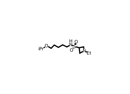 CCN1CC(S(=O)(=O)NCCCCCOC(C)C)C1